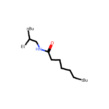 CCCCC(CC)CNC(=O)CCCCCC(C)(C)C